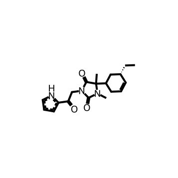 CC[C@@H]1C=CCC(C2(C)C(=O)N(CC(=O)c3ccc[nH]3)C(=O)N2C)C1